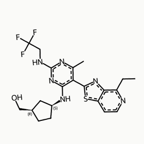 CCc1nccc2sc(-c3c(C)nc(NCC(F)(F)F)nc3N[C@H]3CC[C@@H](CO)C3)nc12